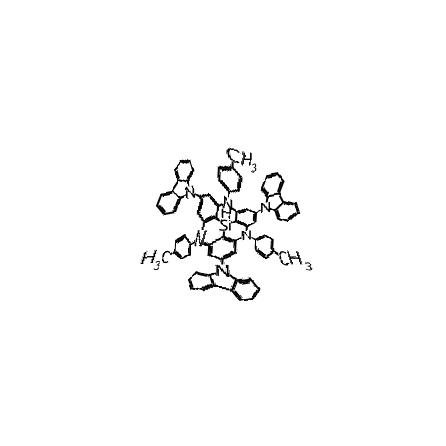 Cc1ccc(N2c3cc(-n4c5ccccc5c5ccccc54)cc4c3[SiH]3c5c2cc(-n2c6ccccc6c6ccccc62)cc5N(c2ccc(C)cc2)c2cc(-n5c6ccccc6c6ccccc65)cc(c23)N4c2ccc(C)cc2)cc1